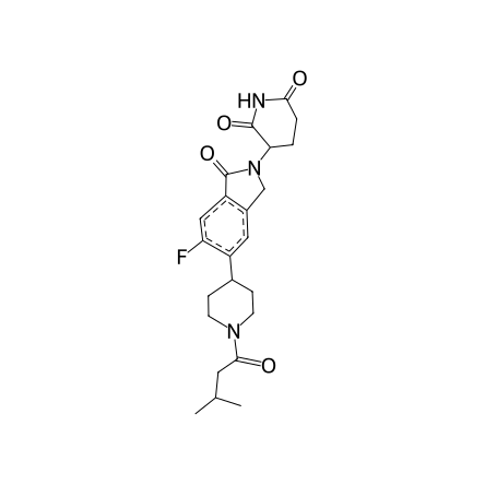 CC(C)CC(=O)N1CCC(c2cc3c(cc2F)C(=O)N(C2CCC(=O)NC2=O)C3)CC1